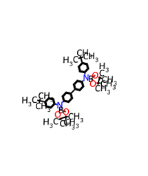 CC(C)(C)c1ccc(N(B2OC(C)(C)C(C)(C)O2)c2ccc(-c3ccc(N(B4OC(C)(C)C(C)(C)O4)c4ccc(C(C)(C)C)cc4)cc3)cc2)cc1